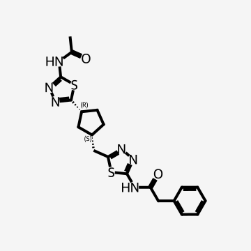 CC(=O)Nc1nnc([C@@H]2CC[C@H](Cc3nnc(NC(=O)Cc4ccccc4)s3)C2)s1